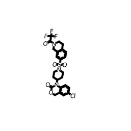 O=C1OCc2cc(Cl)ccc2N1C1CCN(S(=O)(=O)c2ccc3c(c2)CN(C(=O)C(F)(F)F)CC3)CC1